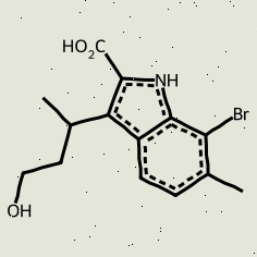 Cc1ccc2c(C(C)CCO)c(C(=O)O)[nH]c2c1Br